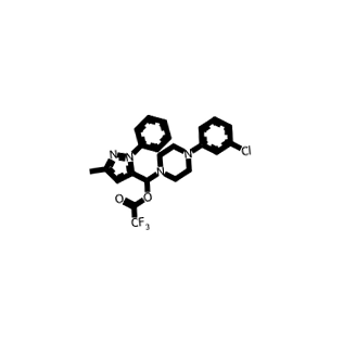 Cc1cc(C(OC(=O)C(F)(F)F)N2CCN(c3cccc(Cl)c3)CC2)n(-c2ccccc2)n1